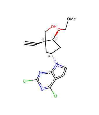 C#C[C@]1(CO)C[C@@H](n2ccc3c(Cl)nc(Cl)nc32)C[C@@H]1OCOC